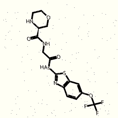 O=C(CNC(=O)[C@@H]1COCCN1)[AsH]c1nc2ccc(OC(F)(F)F)cc2s1